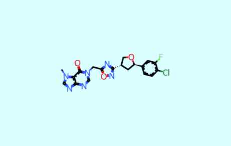 Cn1cnc2ncn(Cc3nc([C@@H]4CO[C@@H](c5ccc(Cl)c(F)c5)C4)no3)c(=O)c21